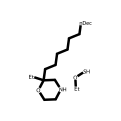 CCCCCCCCCCCCCCCCC1(CC)CNCCO1.CCOS